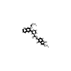 CCOc1cc2ncccc2cc1C1CN(C(=O)OOc2ccc3[nH]c(C)cc3c2F)CCS1